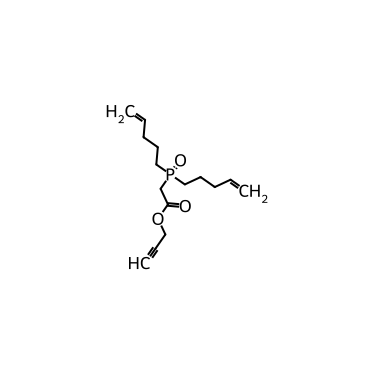 C#CCOC(=O)CP(=O)(CCCC=C)CCCC=C